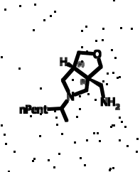 CCCCCC(C)N1C[C@@H]2COC[C@]2(CN)C1